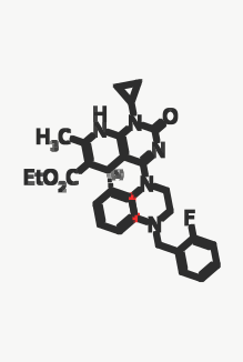 CCOC(=O)C1=C(C)Nc2c(c(N3CCN(Cc4ccccc4F)CC3)nc(=O)n2C2CC2)[C@@H]1c1ccccc1